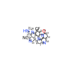 N#Cc1ccc(-c2ccc3ncc4ccc(=O)n(-c5ccc(N6CCNCC6)c(C(F)(F)F)c5)c4c3n2)cn1